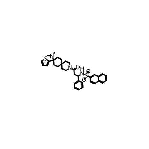 CN(C)C1(c2cccs2)CCC2(CCN(C(=O)CC(NS(=O)(=O)c3ccc4ccccc4c3)c3ccccc3)CC2)CC1